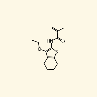 C=C(C)C(=O)Nc1sc2c(c1OCC)CCCC2